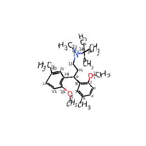 COc1ccc(C)cc1C(CCN(C)C(C)(C)C)c1cc(C)ccc1OC